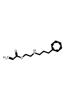 C=CC(=O)OCCNCCCc1ccccc1